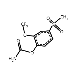 CS(=O)(=O)c1ccc(OC(N)=O)c(OC(F)(F)F)c1